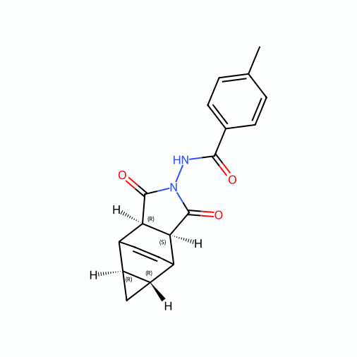 Cc1ccc(C(=O)NN2C(=O)[C@@H]3C4C=CC([C@@H]5C[C@@H]45)[C@@H]3C2=O)cc1